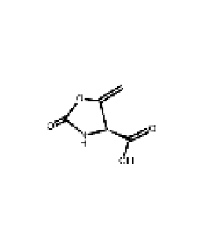 C=C1OC(=O)N[C@@H]1C(=O)O